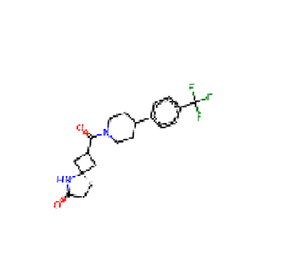 O=C1CC[C@]2(C[C@H](C(=O)N3CCC(c4ccc(C(F)(F)F)cc4)CC3)C2)N1